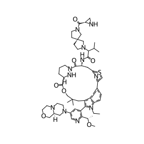 CCn1c(-c2cc(N3CCN4CCOC[C@@H]4C3)cnc2[C@H](C)OC)c2c3cc(ccc31)-c1csc(n1)C[C@H](NC(=O)C(C(C)C)N1CC[C@]3(CCN(C(=O)[C@H]4CN4)C3)C1)C(=O)N1CCC[C@H](N1)C(=O)OCC(C)(C)C2